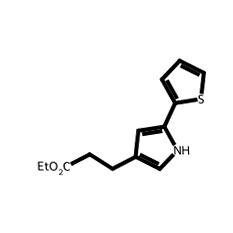 CCOC(=O)CCc1c[nH]c(-c2cccs2)c1